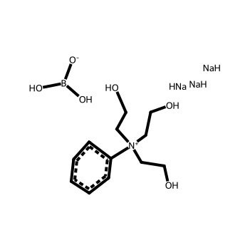 OCC[N+](CCO)(CCO)c1ccccc1.[NaH].[NaH].[NaH].[O-]B(O)O